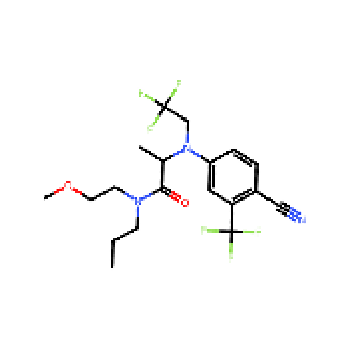 CCCN(CCOC)C(=O)C(C)N(CC(F)(F)F)c1ccc(C#N)c(C(F)(F)F)c1